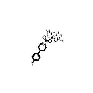 CC(C)(C)OC(=O)N1CCC(c2ccc(I)cc2)CC1